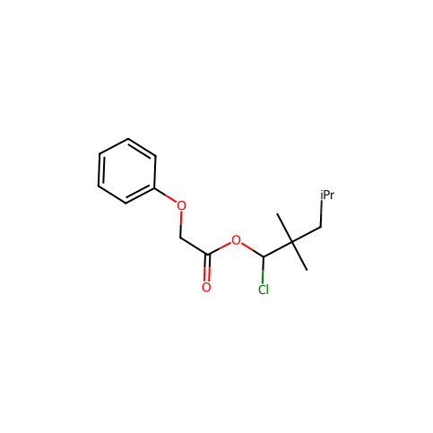 CC(C)CC(C)(C)C(Cl)OC(=O)COc1ccccc1